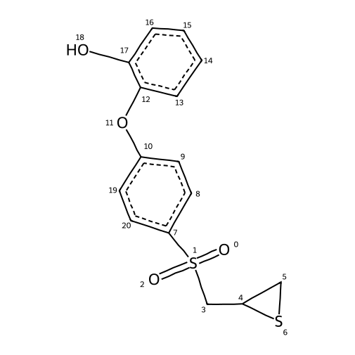 O=S(=O)(CC1CS1)c1ccc(Oc2ccccc2O)cc1